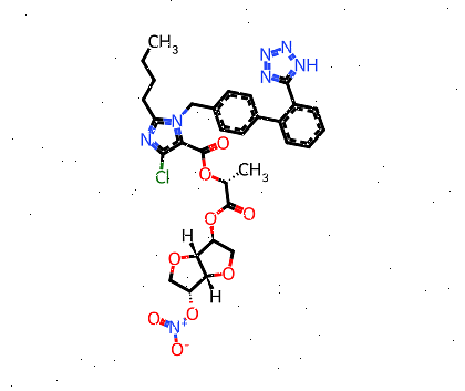 CCCCc1nc(Cl)c(C(=O)O[C@H](C)C(=O)O[C@H]2CO[C@H]3[C@@H]2OC[C@H]3O[N+](=O)[O-])n1Cc1ccc(-c2ccccc2-c2nnn[nH]2)cc1